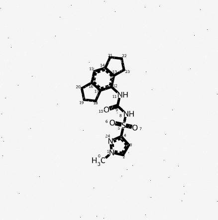 Cn1ccc(S(=O)(=O)NC(=O)Nc2c3c(cc4c2CCC4)CCC3)n1